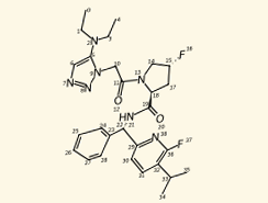 CCN(CC)c1cnnn1CC(=O)N1C[C@H](F)C[C@H]1C(=O)N[C@@H](c1ccccc1)c1ccc(C(C)C)c(F)n1